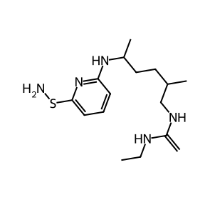 C=C(NCC)NCC(C)CCC(C)Nc1cccc(SN)n1